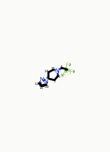 FC(F)(F)CN1CCC(n2c[c]cn2)CC1